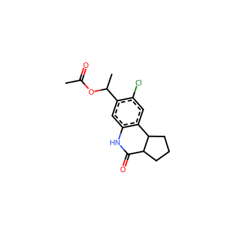 CC(=O)OC(C)c1cc2c(cc1Cl)C1CCCC1C(=O)N2